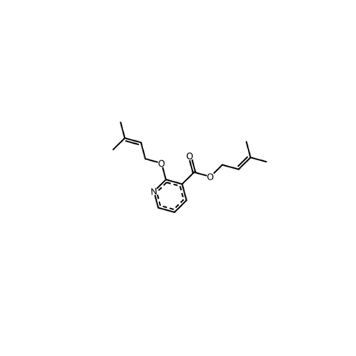 CC(C)=CCOC(=O)c1cccnc1OCC=C(C)C